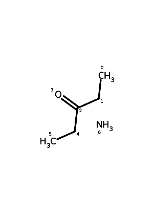 CCC(=O)CC.N